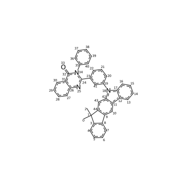 CC1(C)c2ccccc2-c2cc3c4ccccc4n(-c4cccc(-c5nc6ccccc6c(=O)n5-c5ccccc5)c4)c3cc21